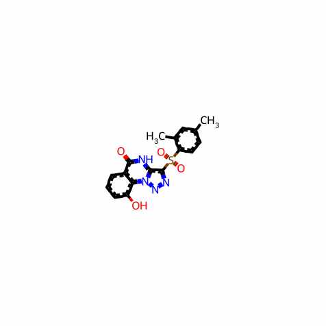 Cc1ccc(S(=O)(=O)c2nnn3c2[nH]c(=O)c2cccc(O)c23)c(C)c1